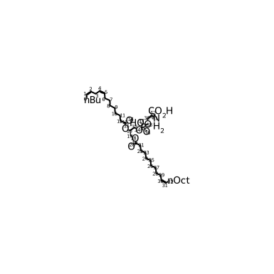 CCCC/C=C\C/C=C\CCCCCCCC(=O)O[C@H](COC(=O)CCCCCCCCC/C=C\CCCCCCCC)COP(=O)(O)OC[C@H](N)C(=O)O